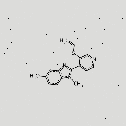 C=CSc1cnccc1-c1nc2cc(C)ccc2n1C